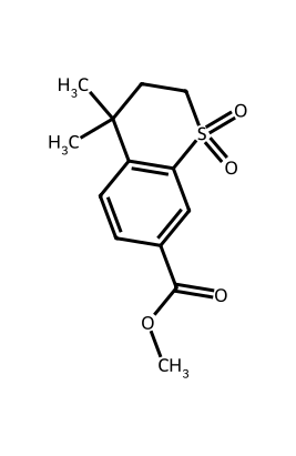 COC(=O)c1ccc2c(c1)S(=O)(=O)CCC2(C)C